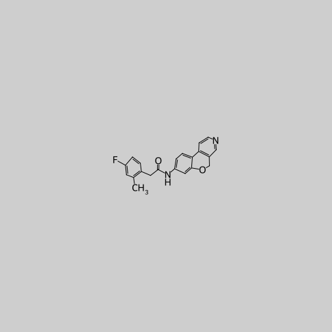 Cc1cc(F)ccc1CC(=O)Nc1ccc2c(c1)OCc1cnccc1-2